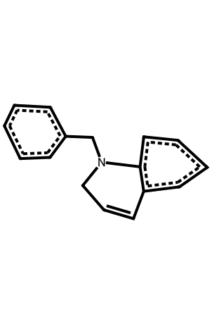 C1=Cc2ccccc2N(Cc2ccccc2)C1